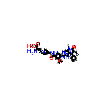 CC[C@@H]1C(=O)N(C)c2cnc(Nc3ccc(C(=O)NC4C5CN(CC[C@H](N)C(=O)O)CC54)cc3OC)nc2N1C1CCCC1